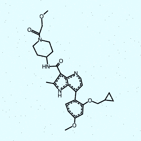 COCC(=O)N1CCC(NC(=O)c2c(C)[nH]c3c(-c4ccc(OC)cc4OCC4CC4)ccnc23)CC1